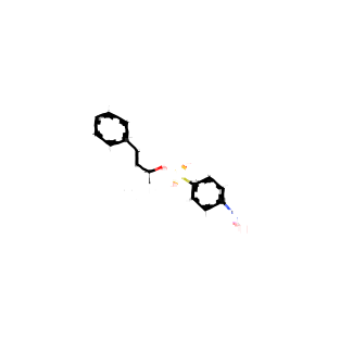 CCOC(=O)[C@@H](CCc1ccccc1)OS(=O)(=O)c1ccc(NO)cc1